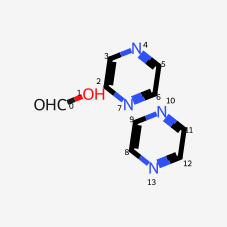 O=CO.c1cnccn1.c1cnccn1